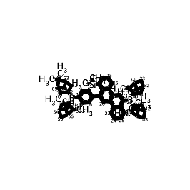 CC1C(B(c2ccc3c(c2)[Si](C)(C)c2cccc4c2c-3cc2c3ccccc3c(B(C3CC5CC(C3C)C5(C)C)C3CC5CC(C3C)C5(C)C)cc42)C2CC3CC(C2C)C3(C)C)CC2CC1C2(C)C